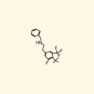 CC(C)(C)c1c(F)cc(CCNCc2ccccc2)cc1C(F)(F)F